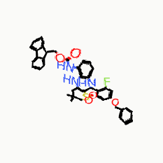 CC1(C)CC2=C(C(c3ccc(OCc4ccccc4)cc3F)Nc3cccc(NC(=O)OCC4c5ccccc5-c5ccccc54)c3N2)S(=O)(=O)C1